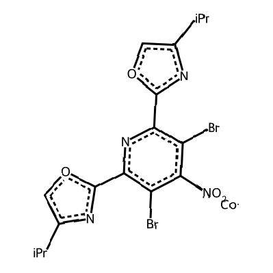 CC(C)c1coc(-c2nc(-c3nc(C(C)C)co3)c(Br)c([N+](=O)[O-])c2Br)n1.[Co]